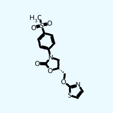 CS(=O)(=O)c1ccc(N2C[C@H](COc3nccs3)OC2=O)cc1